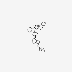 COCn1ccc2c(N3CCN(C(C(=O)C4CCCCC4)C4CCc5ccccc5N4)CC3)cccc21